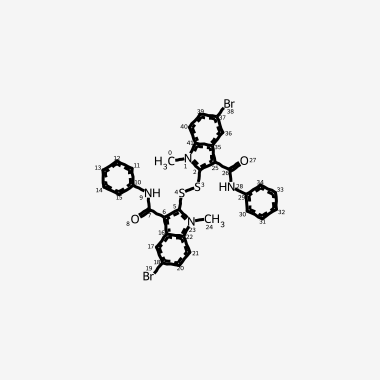 Cn1c(SSc2c(C(=O)Nc3ccccc3)c3cc(Br)ccc3n2C)c(C(=O)Nc2ccccc2)c2cc(Br)ccc21